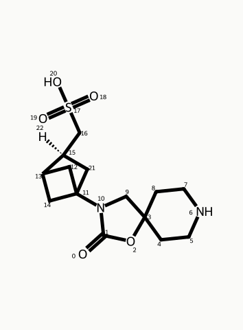 O=C1OC2(CCNCC2)CN1C12CC(C1)[C@@H](CS(=O)(=O)O)C2